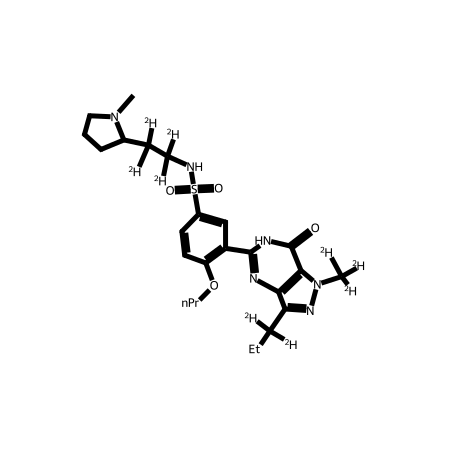 [2H]C([2H])(CC)c1nn(C([2H])([2H])[2H])c2c(=O)[nH]c(-c3cc(S(=O)(=O)NC([2H])([2H])C([2H])([2H])C4CCCN4C)ccc3OCCC)nc12